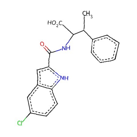 CC(c1ccccc1)C(NC(=O)c1cc2cc(Cl)ccc2[nH]1)C(=O)O